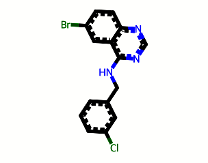 Clc1cccc(CNc2ncnc3ccc(Br)cc23)c1